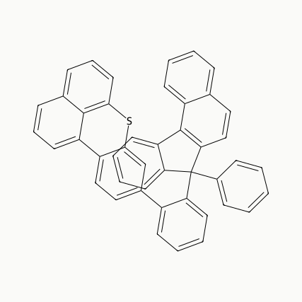 c1ccc(C2(c3ccccc3-c3ccc4c(c3)Sc3cccc5cccc-4c35)c3ccccc3-c3c2ccc2ccccc32)cc1